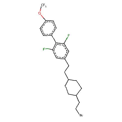 CCC(C)CCC1CCC(CCc2cc(F)c(-c3ccc(OC(F)(F)F)cc3)c(F)c2)CC1